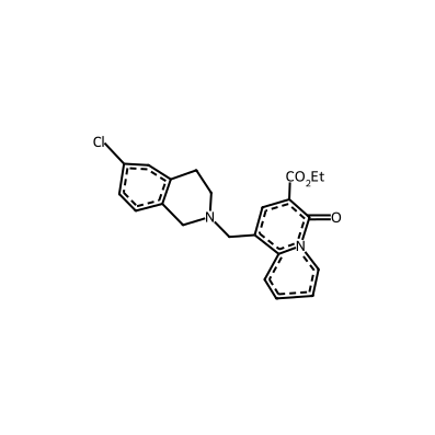 CCOC(=O)c1cc(CN2CCc3cc(Cl)ccc3C2)c2ccccn2c1=O